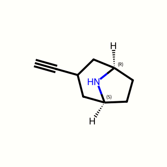 C#CC1C[C@H]2CC[C@@H](C1)N2